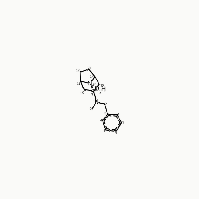 CN(Cc1ccccc1)C1CC2CCC(C1)N2C(=O)O